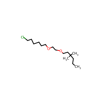 CCCC(C)(C)CCOCCOCCCCCCCl